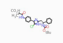 CC(C(=O)O)C(=O)Nc1ccc(-c2nc(C[C@H](NC(=O)OC(C)(C)C)c3ccccc3)[nH]c2Cl)cc1